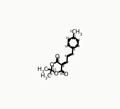 Cc1ccc(C=CC=C2C(=O)OC(C)(C)OC2=O)cc1